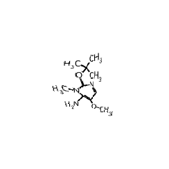 COC1=C(N)N(C)C(OC(C)(C)C)N=C1